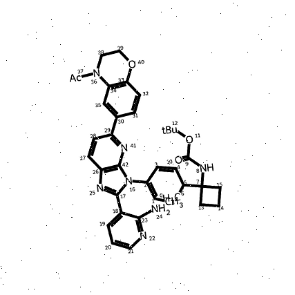 C/C=C(\C=C/C(C)C1(NC(=O)OC(C)(C)C)CCC1)n1c(-c2cccnc2N)nc2ccc(-c3ccc4c(c3)N(C(C)=O)CCO4)nc21